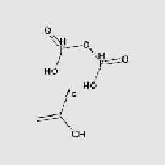 C=C(O)C(C)=O.O=[PH](O)O[PH](=O)O